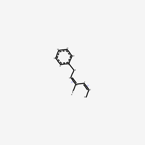 C/C=C\C(I)=C/Cc1ccccc1